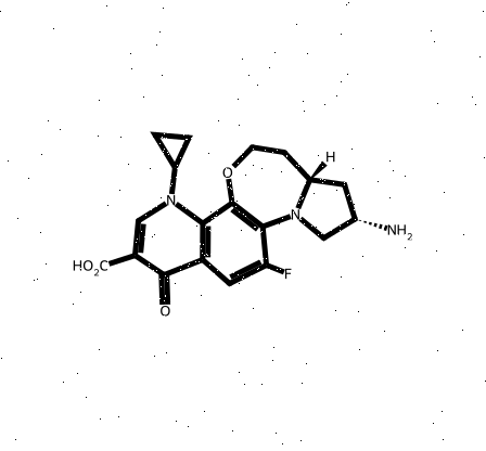 N[C@H]1C[C@H]2CCOc3c(c(F)cc4c(=O)c(C(=O)O)cn(C5CC5)c34)N2C1